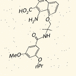 CCCOc1cc(OC)cc(C(=O)NC(C)(C)COc2cccc3nc(C)c(C(=O)O)c(N)c23)c1